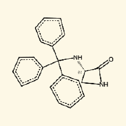 O=C1NC[C@@H]1NC(c1ccccc1)(c1ccccc1)c1ccccc1